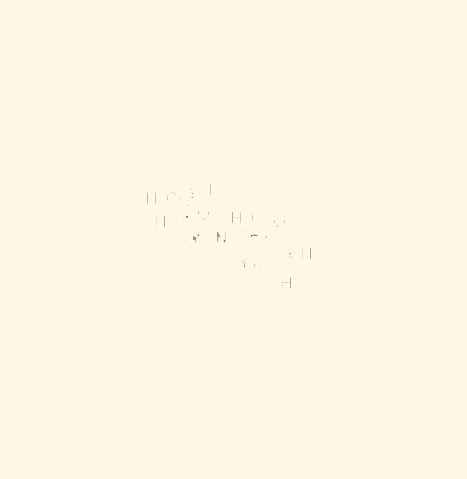 CC(=O)C(C)C(=O)[C@@]1(C)CCCN(C(=O)OC(C)(C)C)C1